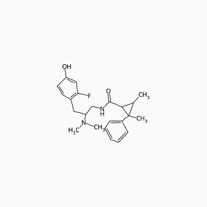 CC1C(C(=O)NCC(Cc2ccc(O)cc2F)N(C)C)C1(C)c1ccccc1